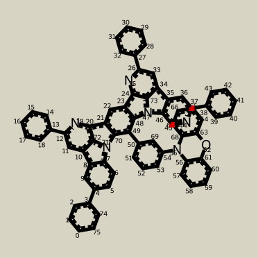 c1ccc(-c2ccc3c(c2)c2cc(-c4ccccc4)nc4c5cc6c7nc(-c8ccccc8)cc8c9cc(-c%10ccccc%10)ncc9n(c6c(-c6cccc(N9c%10ccccc%10Oc%10ccccc%109)c6)c5n3c24)c87)cc1